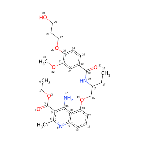 CCOC(=O)c1c(C)nc2cccc(OCC(CC)NC(=O)c3ccc(OCCCO)c(OC)c3)c2c1N